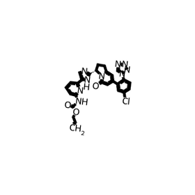 C=CCOC(=O)Nc1cccc(-c2cnc([C@@H]3CCc4cc(-c5cc(Cl)ccc5-n5cnnn5)cc(=O)n43)[nH]2)n1